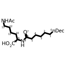 CCCCCCCCCCCCCCCC(=O)NC(CCCCNC(C)=O)C(=O)O